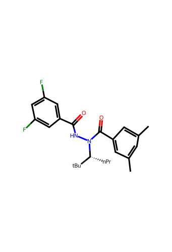 CCC[C@@H](N(NC(=O)c1cc(F)cc(F)c1)C(=O)c1cc(C)cc(C)c1)C(C)(C)C